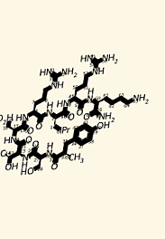 CC(C)C[C@H](NC(=O)[C@H](CCCNC(=N)N)NC(=O)[C@H](CC(=O)O)NC(=O)[C@@H](NC(=O)[C@H](CO)NC(=O)[C@@H](C)Cc1ccc(O)cc1)[C@@H](C)O)C(=O)N[C@@H](CCCNC(=N)N)C(=O)N[C@@H](CCCCN)C(N)=O